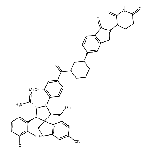 COc1cc(C(=O)N2CCC[C@H](c3ccc4c(c3)CN(C3CCC(=O)NC3=O)C4=O)C2)ccc1N1[C@@H](CC(C)(C)C)[C@@]2(CNc3cc(C(F)(F)F)ncc32)[C@@H](c2cccc(Cl)c2F)[C@@H]1C(N)=O